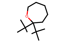 CC(C)(C)C1(C(C)(C)C)CCCCCO1